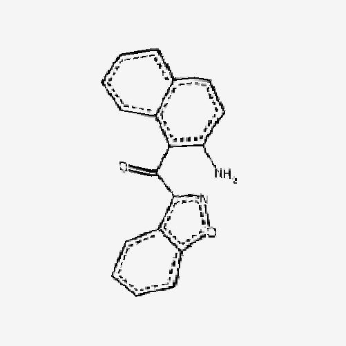 Nc1ccc2ccccc2c1C(=O)c1noc2ccccc12